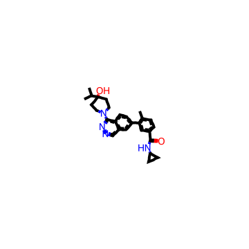 Cc1ccc(C(=O)NC2CC2)cc1-c1ccc2c(N3CCC(O)(C(C)C)CC3)nncc2c1